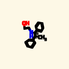 C[C@H](c1ccccc1)[C@H](NCCO)c1ccccc1